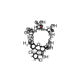 N=c1ccc2c(-c3c(Cl)ccc(Cl)c3C(=O)O)c3ccc(N)c4c3oc-2c1S(=O)(=O)NCCNC(=O)C(CS(=O)O)NC(=O)C(CS(=O)(=O)O)NC(=O)C(CS(=O)(=O)O)NS4(=O)=O